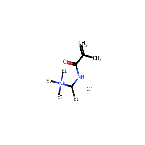 C=C(C)C(=O)NC(CC)[N+](CC)(CC)CC.[Cl-]